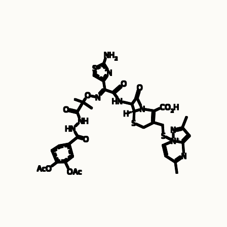 CC(=O)Oc1ccc(C(=O)NNC(=O)C(C)(C)ON=C(C(=O)NC2C(=O)N3C(C(=O)O)=C(CS[N+]45C=CC(C)=NC4=CC(C)=N5)CS[C@@H]23)c2csc(N)n2)cc1OC(C)=O